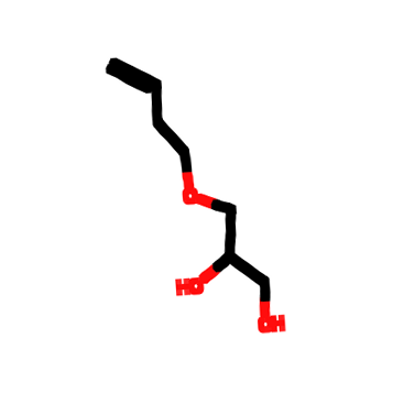 C=CCCOCC(O)CO